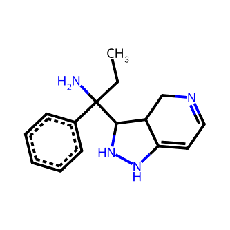 CCC(N)(c1ccccc1)C1NNC2=CC=NCC21